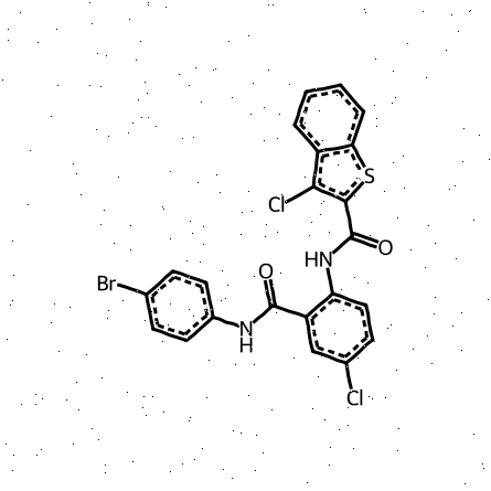 O=C(Nc1ccc(Br)cc1)c1cc(Cl)ccc1NC(=O)c1sc2ccccc2c1Cl